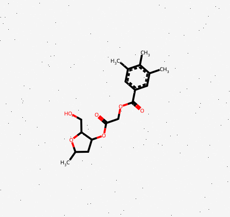 Cc1cc(C(=O)OCC(=O)OC2CC(C)OC2CO)cc(C)c1C